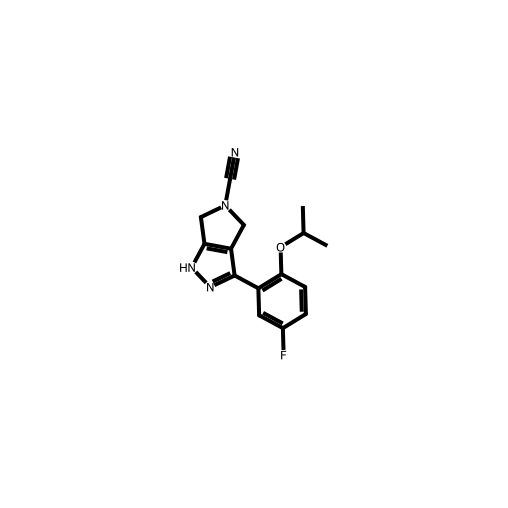 CC(C)Oc1ccc(F)cc1-c1n[nH]c2c1CN(C#N)C2